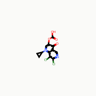 O=C(O)Oc1cn(C2CC2)c2c(Cl)c(Cl)ncc2c1=O